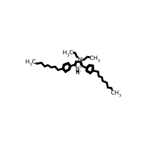 CCCCCCCCc1ccc(C2=CC=C(c3ccc(CCCCCCCC)cc3)[N+]2=[N-])cc1.CC[CH2][Ni][CH2]CC